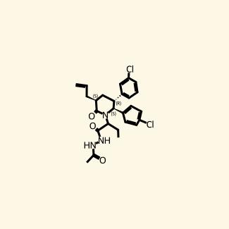 C=CC[C@H]1C[C@H](c2cccc(Cl)c2)[C@@H](c2ccc(Cl)cc2)N(C(CC)C(=O)NNC(C)=O)C1=O